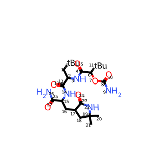 CC(C)(C)CC(NC(=O)C(OC(N)=O)C(C)(C)C)C(=O)NC(CC1CC(C)(C)NC1=O)C(N)=O